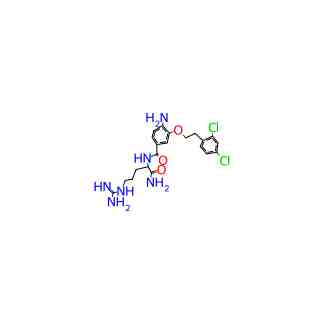 N=C(N)NCCCC(NC(=O)c1ccc(N)c(OCCc2ccc(Cl)cc2Cl)c1)C(N)=O